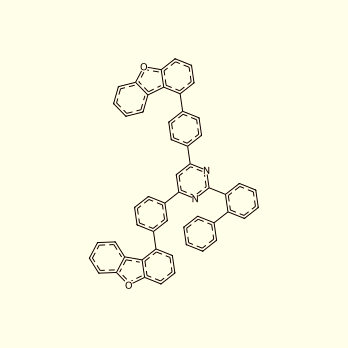 c1ccc(-c2ccccc2-c2nc(-c3ccc(-c4cccc5oc6ccccc6c45)cc3)cc(-c3cccc(-c4cccc5oc6ccccc6c45)c3)n2)cc1